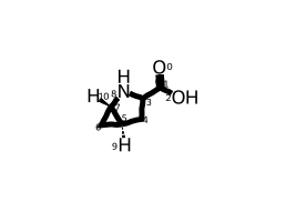 O=C(O)C1C[C@H]2C[C@@H]2N1